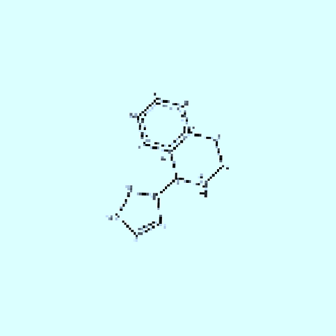 C1=CN(C2NCCc3ccccc32)CS1